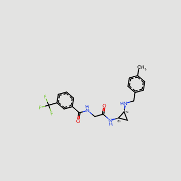 Cc1ccc(CN[C@H]2C[C@H]2NC(=O)CNC(=O)c2cccc(C(F)(F)F)c2)cc1